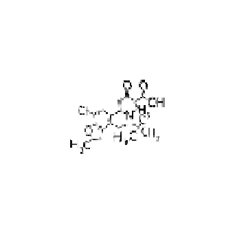 CC1Cc2c3c(cc(Cl)c2O1)-c1cc(=O)c(C(=O)O)cn1C(C(C)(C)C)C3